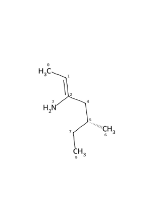 CC=C(N)C[C@H](C)CC